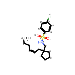 O=C(O)CC/C=C\CC1(CNS(=O)(=O)c2ccc(Cl)cc2)CCCC1